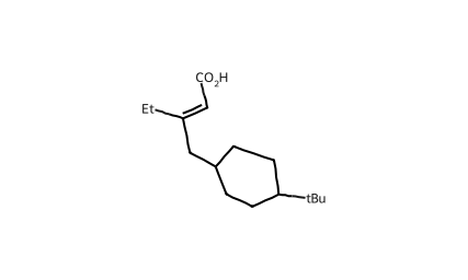 CCC(=CC(=O)O)CC1CCC(C(C)(C)C)CC1